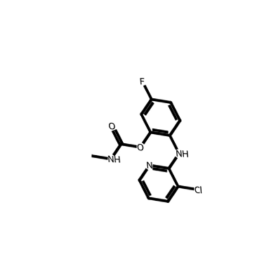 CNC(=O)Oc1cc(F)ccc1Nc1ncccc1Cl